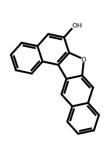 Oc1cc2ccccc2c2c1oc1cc3ccccc3cc12